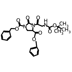 CC(C)(C)OC(=O)NCC(=O)N1C(=O)N(C(=O)OCc2ccccc2)CC1C(=O)OCc1ccccc1